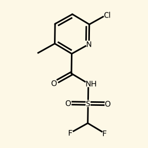 Cc1ccc(Cl)nc1C(=O)NS(=O)(=O)C(F)F